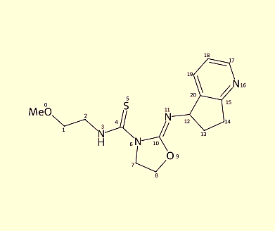 COCCNC(=S)N1CCOC1=NC1CCc2ncccc21